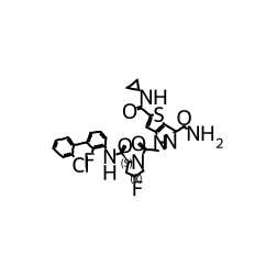 NC(=O)c1nn(CC(=O)N2C[C@H](F)C[C@H]2C(=O)Nc2cccc(-c3ccccc3Cl)c2F)c2cc(C(=O)NC3CC3)sc12